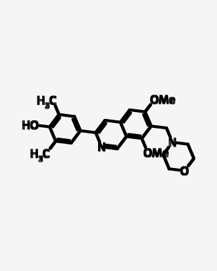 COc1cc2cc(-c3cc(C)c(O)c(C)c3)ncc2c(OC)c1CN1CCOCC1